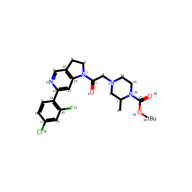 CC1CN(CC(=O)N2CCc3cnc(-c4ccc(Cl)cc4F)cc32)CCN1C(=O)OC(C)(C)C